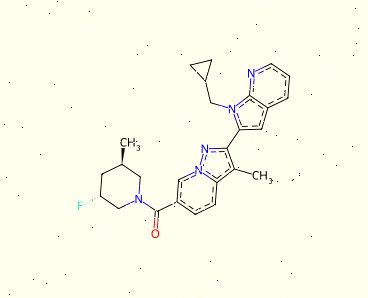 Cc1c(-c2cc3cccnc3n2CC2CC2)nn2cc(C(=O)N3C[C@H](C)C[C@@H](F)C3)ccc12